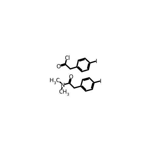 CN(C)C(=O)Cc1ccc(I)cc1.O=C(Cl)Cc1ccc(I)cc1